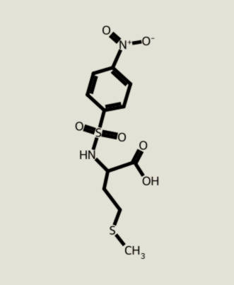 CSCCC(NS(=O)(=O)c1ccc([N+](=O)[O-])cc1)C(=O)O